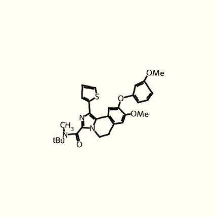 COc1cccc(Oc2cc3c(cc2OC)CCn2c(C(=O)N(C)C(C)(C)C)nc(-c4cccs4)c2-3)c1